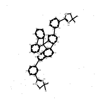 CC1(C)COC(c2cccc(-c3ccc4c(c3)C3(c5ccccc5-c5ccccc53)c3c-4ccc4cc(-c5cccc(C6=NC(C)(C)CO6)c5)ccc34)c2)=N1